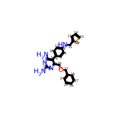 Nc1nc(N)c(-c2ccc(NCc3cccs3)cc2)c(COCc2ccccc2)n1